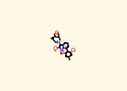 COc1cc(C)cc(OC)c1-c1cccc2c(N(CC3CC3)CC3CCOC3)c(OC)nn12